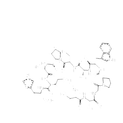 CC(C)C[C@H](NC(=O)[C@@H](NC(=O)[C@H](Cc1c[nH]c2ccccc12)NC(=O)[C@@H]1CCCN1C(=O)CNC(=O)[C@@H](NC(=O)[C@@H](N)CO)C(C)C)C(C)C)C(=O)N1CCC[C@H]1C(=O)N[C@H](C(=O)N[C@@H](CCC(=O)O)C(=O)N[C@@H](Cc1c[nH]cn1)C(=O)O)C(C)C